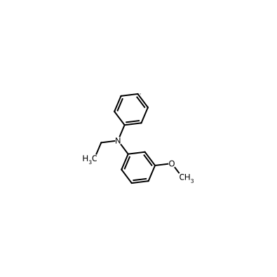 CCN(c1cc[c]cc1)c1cccc(OC)c1